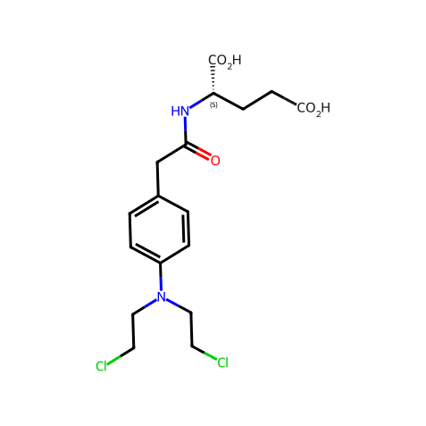 O=C(O)CC[C@H](NC(=O)Cc1ccc(N(CCCl)CCCl)cc1)C(=O)O